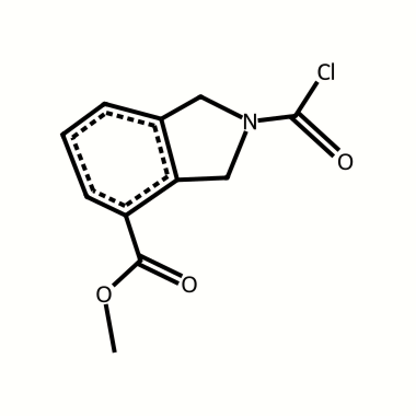 COC(=O)c1cccc2c1CN(C(=O)Cl)C2